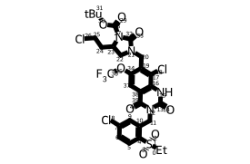 CCS(=O)(=O)c1ccc(Cl)cc1Cn1c(=O)[nH]c2c(Cl)c(CN3CC(CCCl)N(C(=O)OC(C)(C)C)C3=O)c(OC(F)(F)F)cc2c1=O